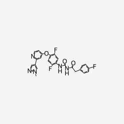 Cn1cc(-c2cc(Oc3cc(F)c(NC(=O)NC(=O)Cc4ccc(F)cc4)cc3F)ccn2)cn1